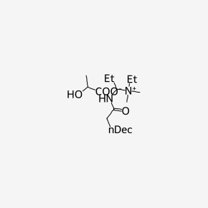 CC(O)C(=O)[O-].CCCCCCCCCCCC(=O)NC(CC)[N+](C)(C)CC